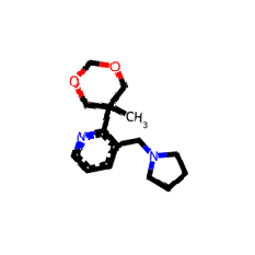 CC1(c2ncccc2CN2CCCC2)COCOC1